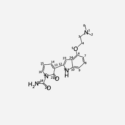 CN(C)CCOc1cccc2[nH]c(-c3c[c]cn(C(N)=O)c3=O)cc12